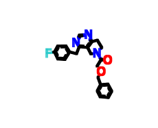 O=C(COCc1ccccc1)N1CCc2ncnc(Cc3ccc(F)cc3)c2C1